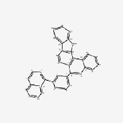 c1cc(-c2nccc3ccccc23)cc(-c2nc3ccccc3c3c2ccc2c4ccccc4oc23)c1